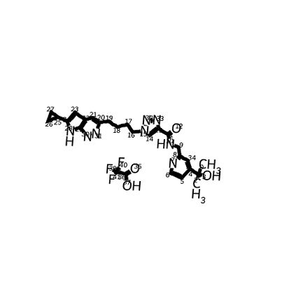 CC(C)(O)c1ccnc(CNC(=O)c2cn(CCCCc3cc4cc(C5CC5)[nH]c4nn3)nn2)c1.O=C(O)C(F)(F)F